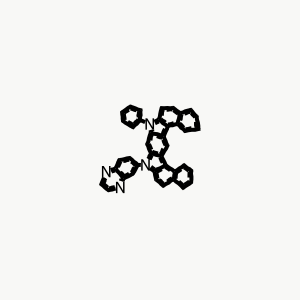 c1ccc(-n2c3cc4c(cc3c3c5ccccc5ccc32)c2c3ccccc3ccc2n4-c2ccc3nccnc3c2)cc1